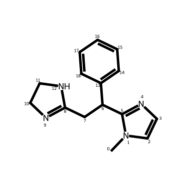 Cn1ccnc1C(CC1=NCCN1)c1ccccc1